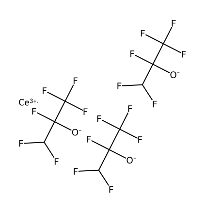 [Ce+3].[O-]C(F)(C(F)F)C(F)(F)F.[O-]C(F)(C(F)F)C(F)(F)F.[O-]C(F)(C(F)F)C(F)(F)F